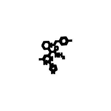 Cc1ccc(CCN2CCCCC2C(C(N)=O)c2cc(C)nc(-n3ccnc3)n2)cc1